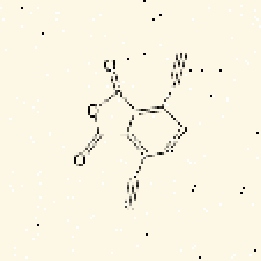 C#Cc1ccc(C#C)c2c1C(=O)OC2=O